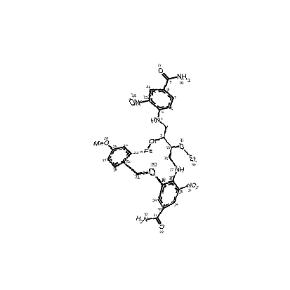 CCO[C@@H](CNc1ccc(C(N)=O)cc1N=O)[C@H](CNc1c(OCc2ccc(OC)cc2)cc(C(N)=O)cc1[N+](=O)[O-])OCC